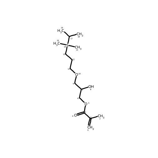 C=C(C)C(=O)OCC(O)COCCCS(C)(C)C(C)C